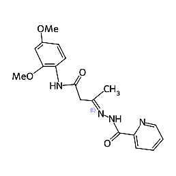 COc1ccc(NC(=O)C/C(C)=N/NC(=O)c2ccccn2)c(OC)c1